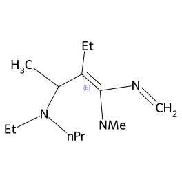 C=N/C(NC)=C(\CC)C(C)N(CC)CCC